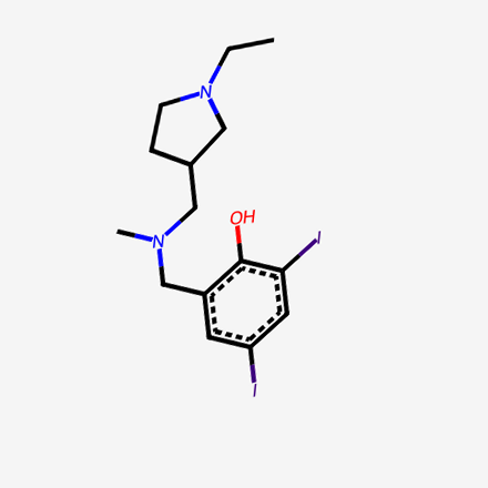 CCN1CCC(CN(C)Cc2cc(I)cc(I)c2O)C1